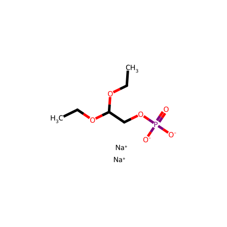 CCOC(COP(=O)([O-])[O-])OCC.[Na+].[Na+]